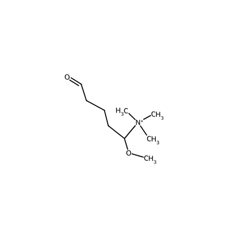 COC(CCCC=O)[N+](C)(C)C